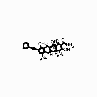 CN(C)c1cc(C#CC2=CCCCC2)c(O)c2c1C[C@H]1C[C@H]3[C@H](N(C)C)C(O)=C(C(N)=O)C(=O)[C@@]3(O)C(O)=C1C2=O